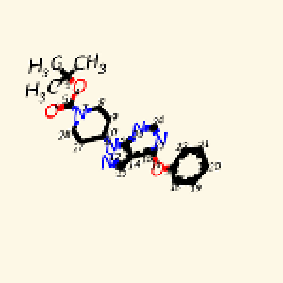 CC(C)(C)OC(=O)N1CCC(n2ncc3c(Oc4ccccc4)ncnc32)CC1